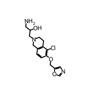 NCC(O)CN1CCc2c(ccc(OCc3cnco3)c2Cl)C1